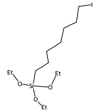 CCO[Si](CCCCCCCI)(OCC)OCC